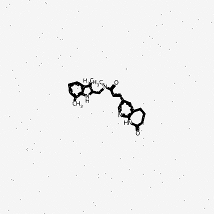 Cc1cccc2c1NC(CN(C)C(=O)/C=C/c1cnc3c(c1)CCCC(=O)N3)C2C